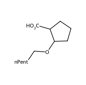 CCCCCCOC1CCCC1C(=O)O